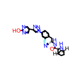 N#C[C@H](Cc1ccc(-n2cc(-c3cnc(O)nc3)nn2)cc1F)NC(=O)[C@H]1N[C@@H]2CC[C@H]1C2